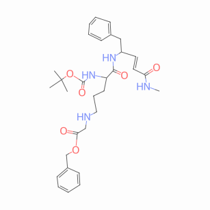 CNC(=O)C=CC(Cc1ccccc1)NC(=O)C(CCCNCC(=O)OCc1ccccc1)NC(=O)OC(C)(C)C